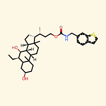 CC[C@@H]1C2C[C@H](O)CCC2(C)[C@H]2CCC3(C)[C@@H]([C@H](C)CCOC(=O)NCc4ccc5ccsc5c4)CC[C@H]3[C@H]2[C@@H]1O